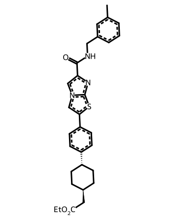 CCOC(=O)C[C@H]1CC[C@H](c2ccc(-c3cn4cc(C(=O)NCc5cccc(C)c5)nc4s3)cc2)CC1